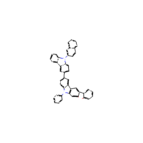 c1ccc(-n2c3ccc(-c4ccc5c(c4)c4ccccc4n5-c4ccc5ccccc5c4)cc3c3cc4c(cc32)oc2ccccc24)cc1